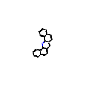 [c]1cc2ccccc2c2nc3c(ccc4ccccc43)cc12